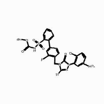 CCc1nn(-c2cc([N+](=O)[O-])ccc2Cl)c(=O)n1Cc1ccc(-c2ccccc2S(=O)(=O)NC(=O)OC(C)(C)C)cc1F